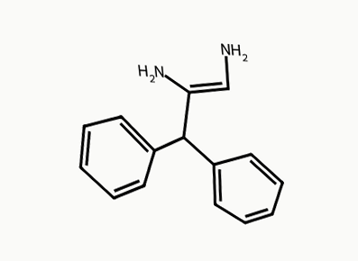 NC=C(N)C(c1ccccc1)c1ccccc1